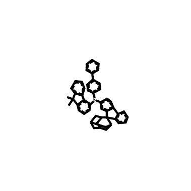 CC1(C)c2ccccc2-c2c(N(c3ccc(-c4ccccc4)cc3)c3ccc4c(c3)C3(c5ccccc5-4)C4CC5CC(C4)CC3C5)cccc21